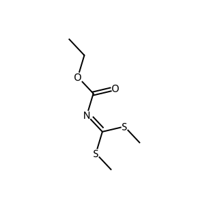 CCOC(=O)N=C(SC)SC